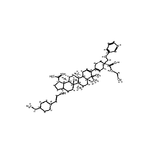 C=C(C)[C@@H]1CC[C@]2(NCCN3CCC(SC)CC3)CC[C@]3(C)[C@H](CCC4[C@@]5(C)CC=C(C6=CCC(COc7cccnc7)(C(=O)OCC)CC6)C(C)(C)[C@@H]5CC[C@]43C)C12